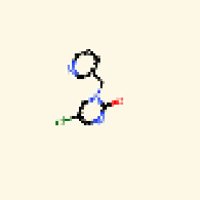 O=c1ncc(Cl)cn1Cc1cccnc1